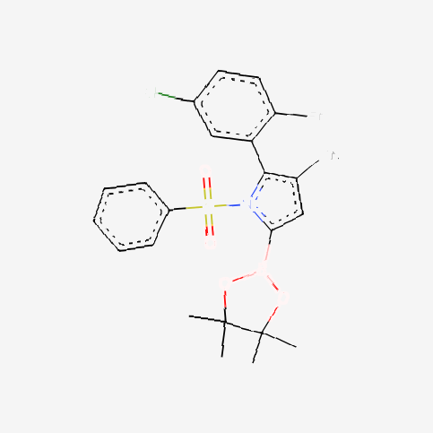 CCc1ccc(Cl)cc1-c1c(C#N)cc(B2OC(C)(C)C(C)(C)O2)n1S(=O)(=O)c1ccccc1